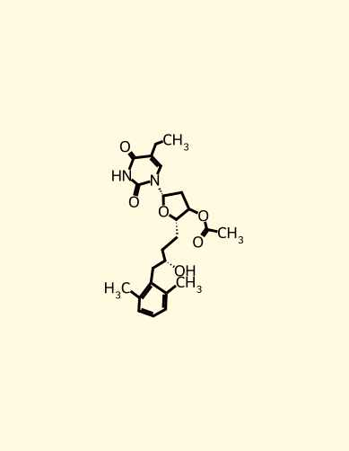 CCc1cn([C@@H]2CC(OC(C)=O)[C@H](CC[C@H](O)Cc3c(C)cccc3C)O2)c(=O)[nH]c1=O